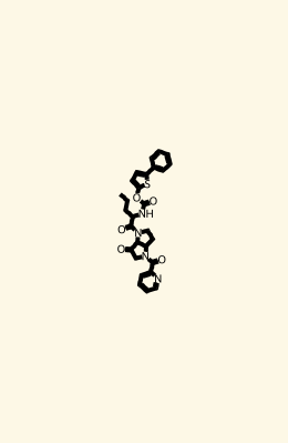 CCCC(NC(=O)Oc1ccc(-c2ccccc2)s1)C(=O)N1CCC2C1C(=O)CN2C(=O)c1ccccn1